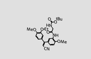 CCOc1cc(C(=CC#N)c2ccc(OC)c(NC(=O)CNC(=O)OC(C)(C)C)c2)ccc1OC